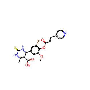 COc1cc(C2NC(=S)NC(C)=C2C(=O)O)cc(Br)c1OC(=O)C=Cc1ccncc1